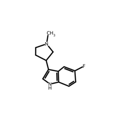 CN1CCC(c2c[nH]c3ccc(F)cc23)C1